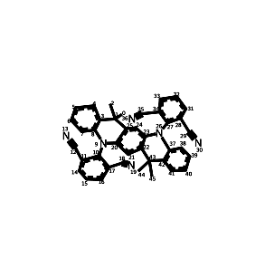 CC1(C)c2ccccc2N(c2c(C#N)cccc2C#N)c2cc3c(cc21)N(c1c(C#N)cccc1C#N)c1ccccc1C3(C)C